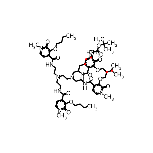 CCCCOc1c(C(=O)NCCN(CCNC(=O)c2ccn(C)c(=O)c2OCCCC)CCN(CCNC(=O)c2ccn(C)c(=O)c2OCCCC)CC(CCCCNC(=O)OC(C)(C)C)NC(=O)c2ccn(C)c(=O)c2OCCCC)ccn(C)c1=O